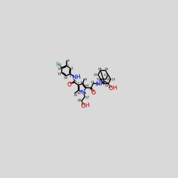 Cc1cc(NC(=O)c2c(C)c(C(=O)CNC34CC5CC(CC(O)(C5)C3)C4)n(CCO)c2C)ccc1F